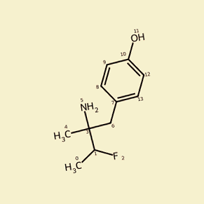 CC(F)C(C)(N)Cc1ccc(O)cc1